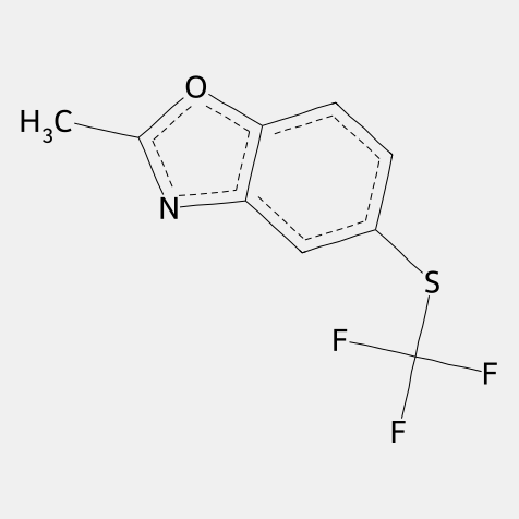 Cc1nc2cc(SC(F)(F)F)ccc2o1